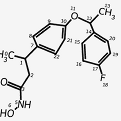 CC(CC(=O)NO)c1ccc(OC(C)c2ccc(F)cc2)cc1